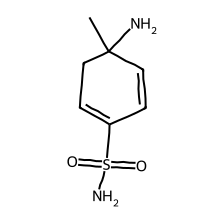 CC1(N)C=CC(S(N)(=O)=O)=CC1